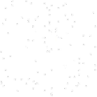 CC(C)(C)n1nc2c(c1-c1ccoc1)CCNCC2